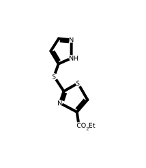 CCOC(=O)c1csc(Sc2ccn[nH]2)n1